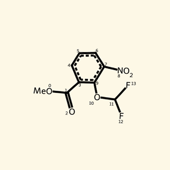 COC(=O)c1cccc([N+](=O)[O-])c1OC(F)F